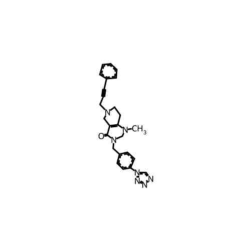 CN1CN(Cc2ccc(-n3cnnn3)cc2)C(=O)C2=C1CCN(CC#Cc1ccccc1)C2